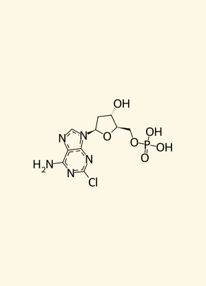 Nc1nc(Cl)nc2c1ncn2[C@H]1C[C@H](O)[C@@H](COP(=O)(O)O)O1